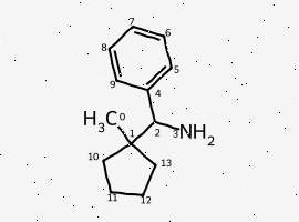 CC1(C(N)c2ccccc2)CCCC1